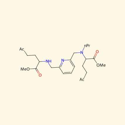 CCCN(Cc1cccc(CNC(CCC(C)=O)C(=O)OC)n1)C(CCC(C)=O)C(=O)OC